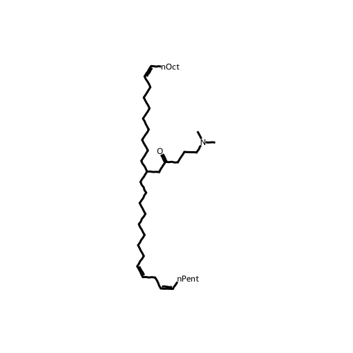 CCCCC/C=C\C/C=C\CCCCCCCCC(CCCCCCCC/C=C\CCCCCCCC)CC(=O)CCCN(C)C